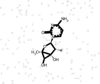 C[C@]12O[C@@H](n3ccc(N)nc3=O)[C@H](F)[C@@]1(O)C2O